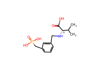 CC(C)[C@H](NCc1cccc(CP(=O)(O)O)c1)C(=O)O